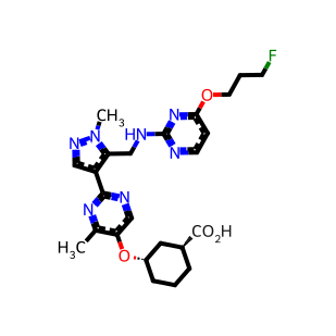 Cc1nc(-c2cnn(C)c2CNc2nccc(OCCCF)n2)ncc1O[C@H]1CCC[C@H](C(=O)O)C1